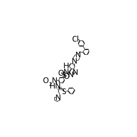 O=[N+]([O-])c1cc(S(=O)(=O)Nc2ncnc3cc(N4CCN(Cc5ccccc5-c5ccc(Cl)cc5)CC4)ccc23)ccc1N[C@H](CCN1CCCC1)CSc1ccccc1